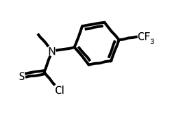 CN(C(=S)Cl)c1ccc(C(F)(F)F)cc1